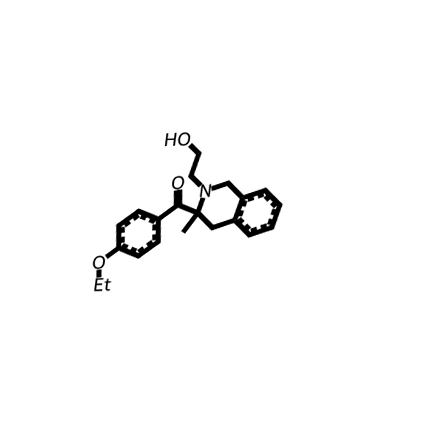 CCOc1ccc(C(=O)C2(C)Cc3ccccc3CN2CCO)cc1